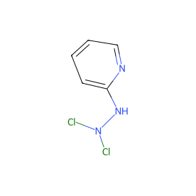 ClN(Cl)Nc1ccccn1